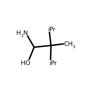 CC(C)C(C)(C(C)C)C(N)O